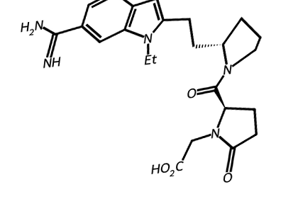 CCn1c(CC[C@@H]2CCCN2C(=O)[C@H]2CCC(=O)N2CC(=O)O)cc2ccc(C(=N)N)cc21